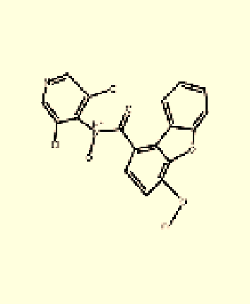 CC(C)Oc1ccc(C(=O)[NH+]([O-])c2c(Cl)cncc2Cl)c2c1oc1ccccc12